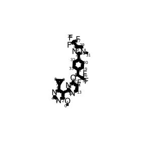 COc1ncnc(C2CC2)c1-c1nccc(O[C@@H](c2ccc(-c3nc(C(F)(F)F)cn3C)cc2)C(F)(F)F)n1